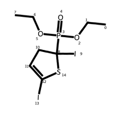 CCOP(=O)(OCC)C1(I)CC=C(I)S1